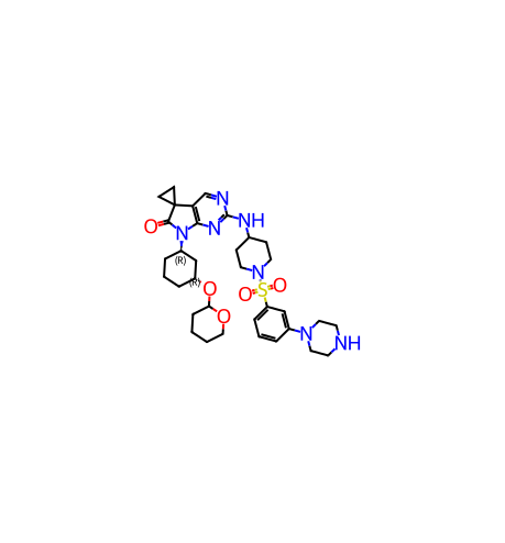 O=C1N([C@@H]2CCC[C@@H](OC3CCCCO3)C2)c2nc(NC3CCN(S(=O)(=O)c4cccc(N5CCNCC5)c4)CC3)ncc2C12CC2